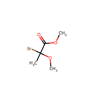 COC(=O)C(C)(Br)OC